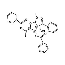 COC1O[C@H]([C@@H](C)OC(=O)c2ccccc2)[C@@H](OC(=O)c2ccccc2)[C@]1(O)C(=O)c1ccccc1